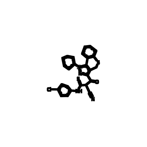 N#CC(C(=O)c1nn(-c2ccccc2)c2c1CSc1ccccc1-2)C(=S)Nc1ccc(Cl)cc1